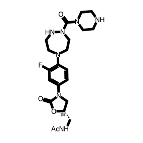 CC(=O)NC[C@H]1CN(c2ccc(N3CCNN(C(=O)N4CCNCC4)CC3)c(F)c2)C(=O)O1